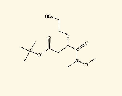 CON(C)C(=O)[C@@H](CCCO)CC(=O)OC(C)(C)C